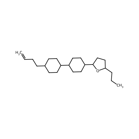 C=CCCC1CCC(C2CCC(C3CCC(CCC)O3)CC2)CC1